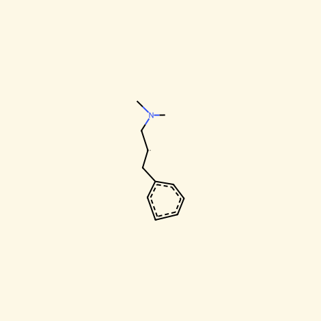 CN(C)C[CH]Cc1ccccc1